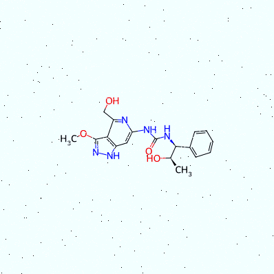 COc1n[nH]c2cc(NC(=O)N[C@@H](c3ccccc3)[C@@H](C)O)nc(CO)c12